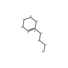 CC[CH]CC1=CCCCC1